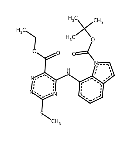 CCOC(=O)c1nnc(SC)nc1Nc1cccc2ccn(C(=O)OC(C)(C)C)c12